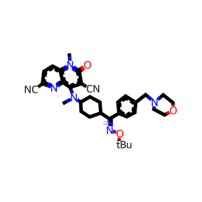 CN(c1c(C#N)c(=O)n(C)c2ccc(C#N)nc12)C1CCC(/C(=N/OC(C)(C)C)c2ccc(CN3CCOCC3)cc2)CC1